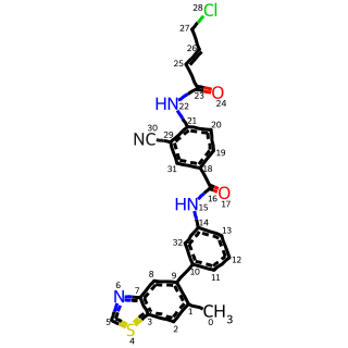 Cc1cc2scnc2cc1-c1cccc(NC(=O)c2ccc(NC(=O)/C=C/CCl)c(C#N)c2)c1